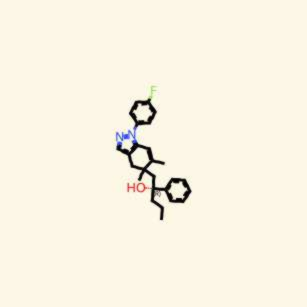 CCC[C@@](O)(CC1(C)Cc2cnn(-c3ccc(F)cc3)c2C=C1C)c1ccccc1